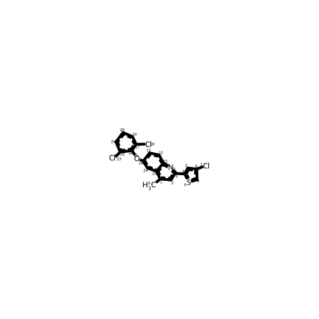 Cc1cc(-c2cc(Cl)cs2)nc2ccc(Oc3c(Cl)cccc3Cl)cc12